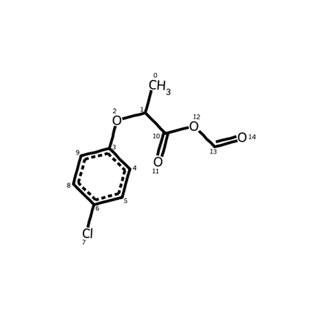 CC(Oc1ccc(Cl)cc1)C(=O)OC=O